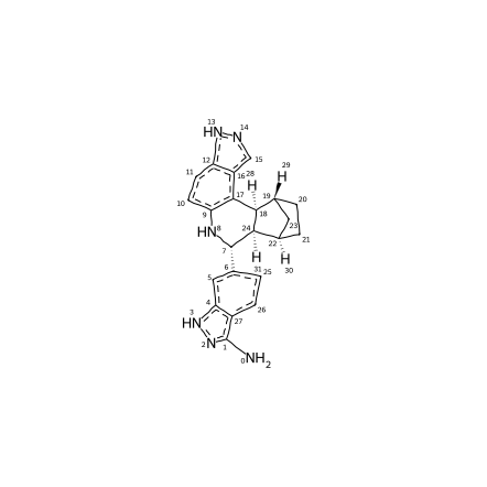 Nc1n[nH]c2cc([C@@H]3Nc4ccc5[nH]ncc5c4[C@H]4[C@@H]5CC[C@H](C5)[C@H]43)ccc12